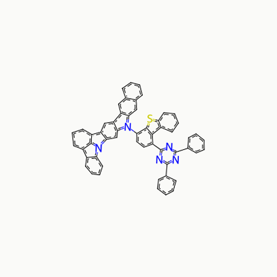 c1ccc(-c2nc(-c3ccccc3)nc(-c3ccc(-n4c5cc6ccccc6cc5c5cc6c7cccc8c9ccccc9n(c6cc54)c87)c4sc5ccccc5c34)n2)cc1